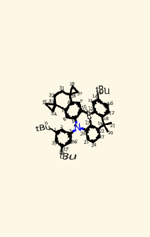 CC(C)(C)c1cc(N2c3cc4c(cc3B3c5cc(C(C)(C)C)ccc5C(C)(C)c5cccc2c53)C2(CC2)CCC42CC2)cc(C(C)(C)C)c1